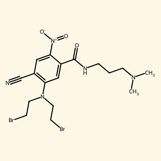 CN(C)CCCNC(=O)c1cc(N(CCBr)CCBr)c(C#N)cc1[N+](=O)[O-]